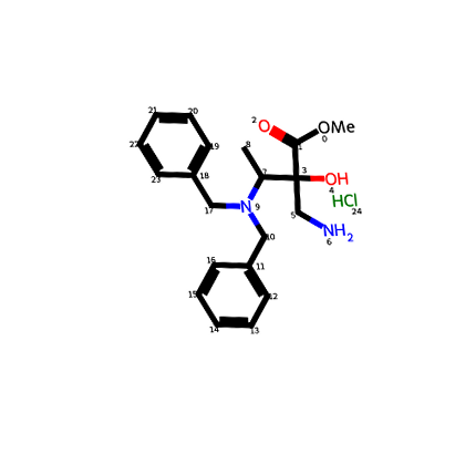 COC(=O)C(O)(CN)C(C)N(Cc1ccccc1)Cc1ccccc1.Cl